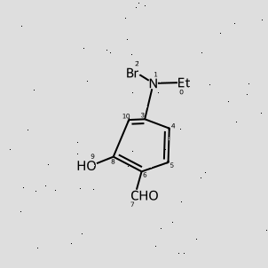 CCN(Br)c1ccc(C=O)c(O)c1